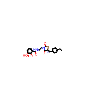 CCc1ccc(/C=C2\SC(=O)N(CCNC(=O)c3cccc(O)c3O)C2=O)cc1